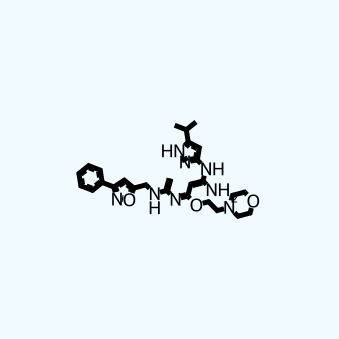 C=C(/N=C(\C=C(/N)Nc1cc(C(C)C)[nH]n1)OCCN1CCOCC1)NCc1cc(-c2ccccc2)no1